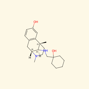 CN1CC[C@@]2(C)c3cc(O)ccc3C[C@@H]1[C@@H]2NCC1(O)CCCCC1